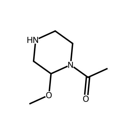 COC1CNCCN1C(C)=O